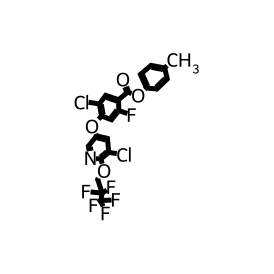 Cc1ccc(OC(=O)c2cc(Cl)c(Oc3cnc(OCC(F)(F)C(F)(F)F)c(Cl)c3)cc2F)cc1